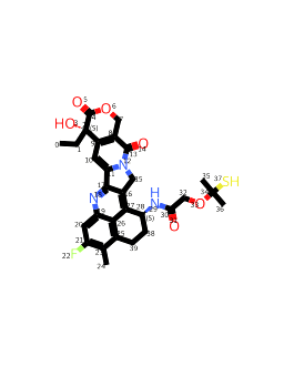 CC[C@@]1(O)C(=O)OCc2c1cc1n(c2=O)Cc2c-1nc1cc(F)c(C)c3c1c2[C@@H](NC(=O)COC(C)(C)S)CC3